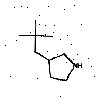 CC(C)(C)CC1CCNC1